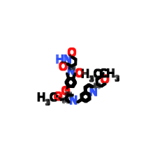 COC[C@@H]1CN(Cc2ccc3nc([C@H]4CCOC(C)(C)C4)ccc3c2)C[C@H]1Oc1ccc2c(c1)CN([C@H]1CCC(=O)NC1=O)C2=O